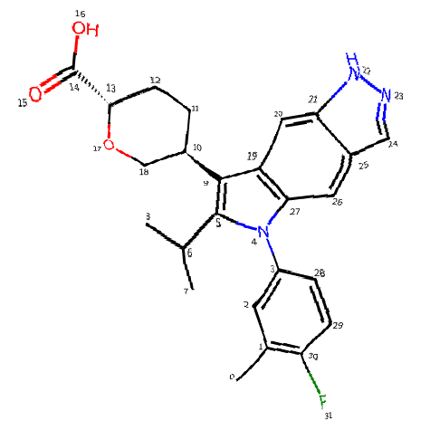 Cc1cc(-n2c(C(C)C)c([C@@H]3CC[C@@H](C(=O)O)OC3)c3cc4[nH]ncc4cc32)ccc1F